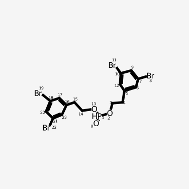 O=[PH](OCCc1cc(Br)cc(Br)c1)OCCc1cc(Br)cc(Br)c1